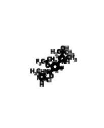 Cc1n[nH]c(Cl)c1NC(=O)c1cc(F)c(C2C=C(C(C)(C)O)N(C)N2)cc1O[C@@H](C)C(F)(F)F